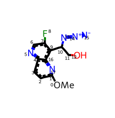 COc1ccc2ncc(F)c(C(CO)N=[N+]=[N-])c2n1